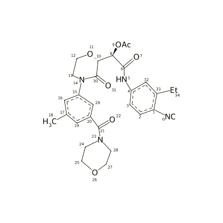 [C-]#[N+]c1ccc(NC(=O)[C@H](OC(C)=O)[C@H]2OCCN(c3cc(C)cc(C(=O)N4CCOCC4)c3)C2=O)cc1CC